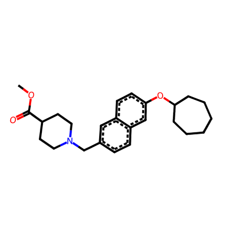 COC(=O)C1CCN(Cc2ccc3cc(OC4CCCCCC4)ccc3c2)CC1